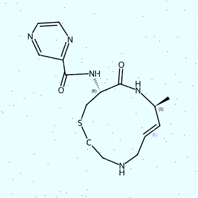 C[C@H]1/C=C/CNCCSC[C@H](NC(=O)c2cnccn2)C(=O)N1